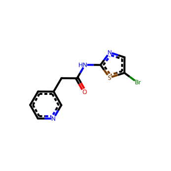 O=C(Cc1cccnc1)Nc1ncc(Br)s1